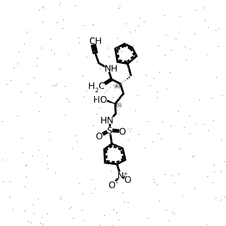 C#CCNC(=C)[C@H](Cc1ccccc1)C[C@H](O)CNS(=O)(=O)c1ccc([N+](=O)[O-])cc1